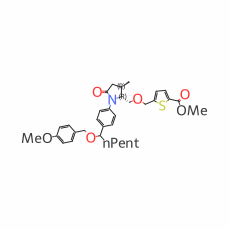 CCCCCC(OCc1ccc(OC)cc1)c1ccc(N2C(=O)C[C@@H](C)[C@@H]2COCc2ccc(C(=O)OC)s2)cc1